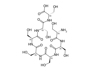 N[C@@H](CO)C(=O)N[C@@H](CO)C(=O)N[C@@H](CO)C(=O)N[C@@H](CO)C(=O)N[C@@H](CO)C(=O)N[C@@H](CO)C(=O)N[C@@H](CO)C(=O)O